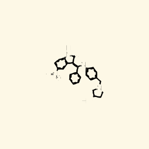 O=C1Nc2ccc([N+](=O)[O-])cc2/C1=C(/Nc1ccc(CN2CCC(O)C2)cc1)c1ccccc1